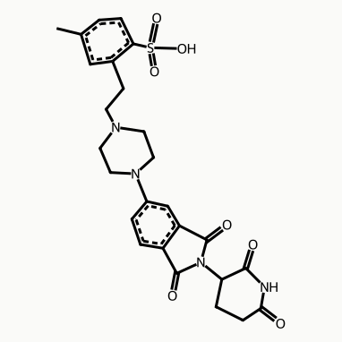 Cc1ccc(S(=O)(=O)O)c(CCN2CCN(c3ccc4c(c3)C(=O)N(C3CCC(=O)NC3=O)C4=O)CC2)c1